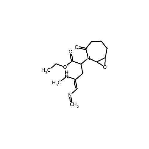 C=N/C=C(/CC(C(=O)OCC)N1C(=O)CCCC2OC21)NC